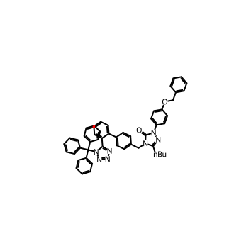 CCCCc1nn(-c2ccc(OCc3ccccc3)cc2)c(=O)n1Cc1ccc(-c2ccccc2-c2nnnn2C(c2ccccc2)(c2ccccc2)c2ccccc2)cc1